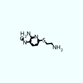 NCCSc1ccc(N=O)c(N)n1